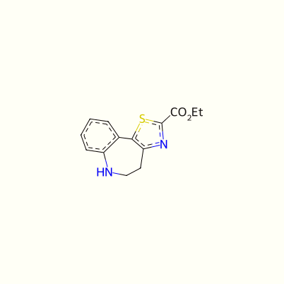 CCOC(=O)c1nc2c(s1)-c1ccccc1NCC2